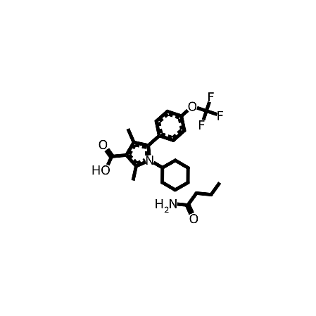 CCCC(N)=O.Cc1c(C(=O)O)c(C)n(C2CCCCC2)c1-c1ccc(OC(F)(F)F)cc1